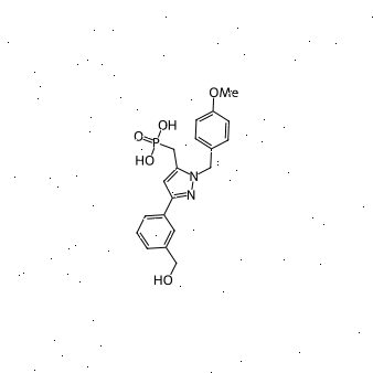 COc1ccc(Cn2nc(-c3cccc(CO)c3)cc2CP(=O)(O)O)cc1